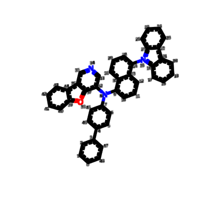 c1ccc(-c2ccc(N(c3cccc4c(-n5c6ccccc6c6ccccc65)cccc34)c3cncc4c3oc3ccccc34)cc2)cc1